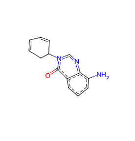 Nc1cccc2c(=O)n(C3C=CC=CC3)cnc12